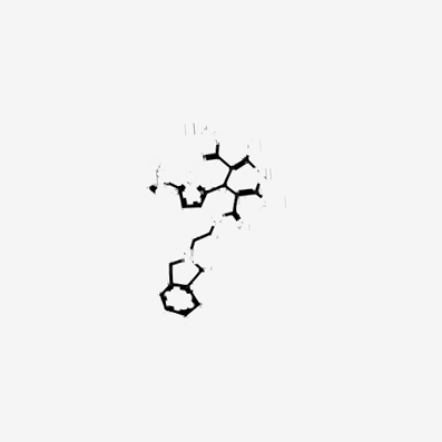 COC(=O)C1=C(C)NC(C)=C(C(=O)OCCN2Cc3ccccc3C2)C1c1ccc([N+](=O)[O-])o1